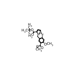 COC(=O)c1cc(Cn2nccc2C(=O)OC(C)(C)C)c(F)cc1OC